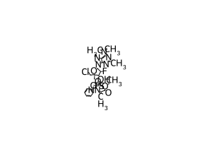 CCOC(=O)[C@@H](C)NP(=S)(OC[C@@]1(CCl)O[C@@H](n2cnc3c(N(C)C)nc(C)nc32)[C@@H](F)[C@@H]1O)Oc1ccccc1